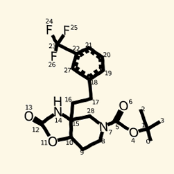 CC(C)(C)OC(=O)N1CCC2OC(=O)NC2(CCc2cccc(C(F)(F)F)c2)C1